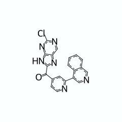 O=C(c1ccnc(-c2cncc3ccccc23)c1)c1nc2cnc(Cl)nc2[nH]1